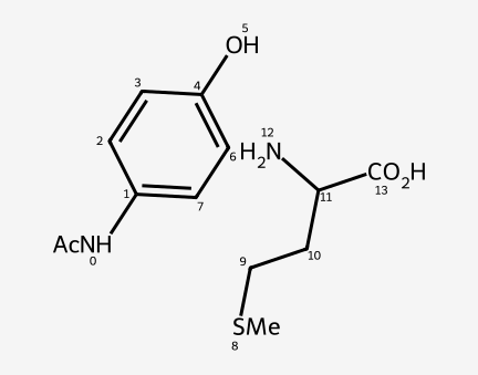 CC(=O)Nc1ccc(O)cc1.CSCCC(N)C(=O)O